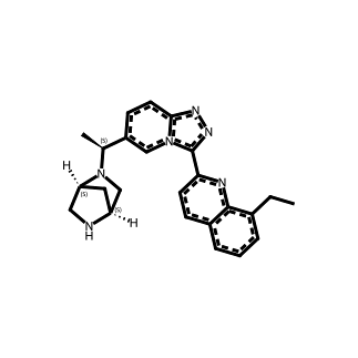 CCc1cccc2ccc(-c3nnc4ccc([C@H](C)N5C[C@@H]6C[C@H]5CN6)cn34)nc12